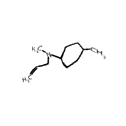 C=CCN(C)C1CCC(C)CC1